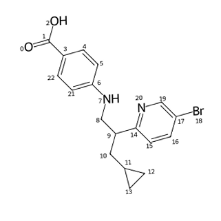 O=C(O)c1ccc(NCC(CC2CC2)c2ccc(Br)cn2)cc1